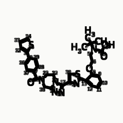 CC(C)(C)N(CCOc1ccccc1-c1nc(-c2nnc3n2CCN(C(=O)c2ccc(-c4cccs4)cc2)C3)cs1)C(=O)O